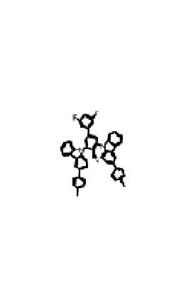 Cc1ccc(-c2ccc3c(c2)c2ccccc2n3-c2cc(-c3cc(F)cc(F)c3)cc(-n3c4ccccc4c4cc(-c5ccc(C)cc5)ccc43)c2C#N)cc1